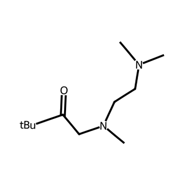 CN(C)CCN(C)CC(=O)C(C)(C)C